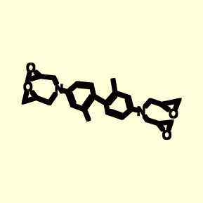 Cc1cc(N(CC2CO2)CC2CO2)ccc1-c1ccc(N(CC2CO2)CC2CO2)cc1C